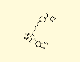 CC1(C)C(=S)N(c2ccc(C#N)c(C(F)(F)F)c2)CN1CCCCCN1CCN(C(=O)c2ccoc2)CC1